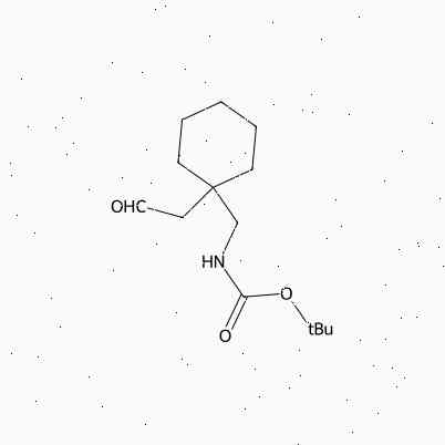 CC(C)(C)OC(=O)NCC1(CC=O)CCCCC1